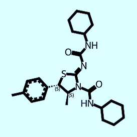 Cc1ccc([C@@H]2SC(=NC(=O)NC3CCCCC3)N(C(=O)NC3CCCCC3)[C@H]2C)cc1